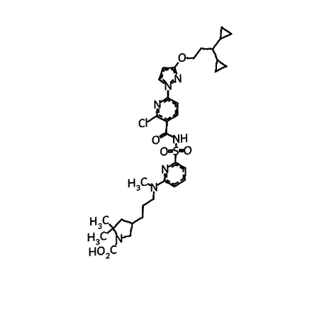 CN(CCCC1CN(C(=O)O)C(C)(C)C1)c1cccc(S(=O)(=O)NC(=O)c2ccc(-n3ccc(OCCC(C4CC4)C4CC4)n3)nc2Cl)n1